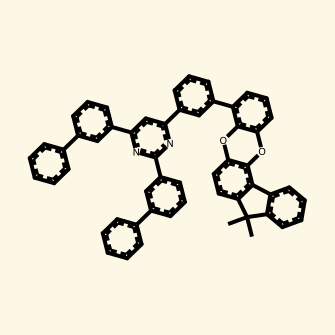 CC1(C)c2ccccc2-c2c1ccc1c2Oc2cccc(-c3cccc(-c4cc(-c5cccc(-c6ccccc6)c5)nc(-c5cccc(-c6ccccc6)c5)n4)c3)c2O1